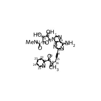 CNC(=O)[C@H]1O[C@@H](n2cnc3c(N)nc(C#CCN(C)C(=O)c4ccccn4)nc32)[C@H](O)[C@@H]1O